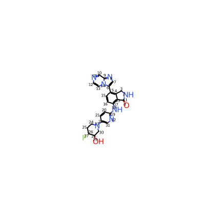 O=C1NCc2c(-c3cnc4cnccn34)ccc(Nc3ccc(N4CC[C@@H](F)[C@H](O)C4)cn3)c21